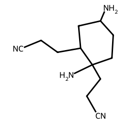 N#CCCC1CC(N)CCC1(N)CCC#N